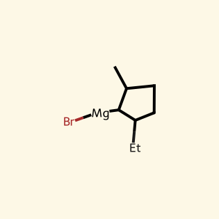 CCC1CCC(C)[CH]1[Mg][Br]